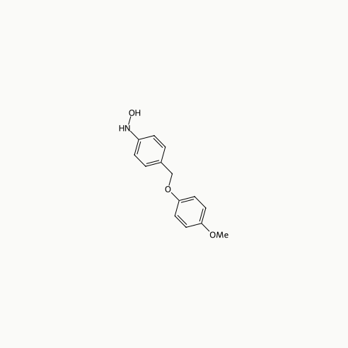 COc1ccc(OCc2ccc(NO)cc2)cc1